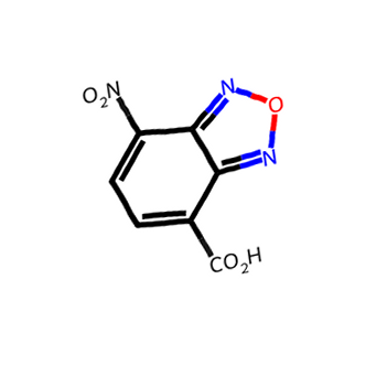 O=C(O)c1ccc([N+](=O)[O-])c2nonc12